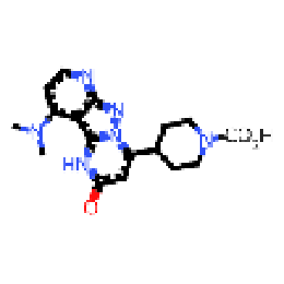 CN(C)c1ccnc2nn3c(C4CCN(C(=O)O)CC4)cc(=O)[nH]c3c12